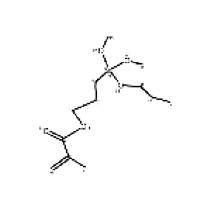 C=C(C)C(=O)OCCC[Si](OC)(OC)OCCC